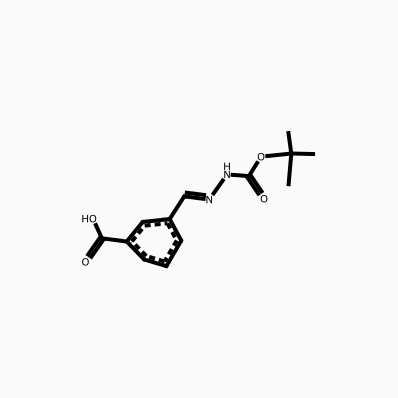 CC(C)(C)OC(=O)NN=Cc1cccc(C(=O)O)c1